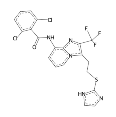 O=C(Nc1cccn2c(CCSc3ncc[nH]3)c(C(F)(F)F)nc12)c1c(Cl)cccc1Cl